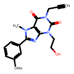 C#CCn1c(=O)c2c(nc(-c3cccc(OC)c3)n2C)n(CCO)c1=O